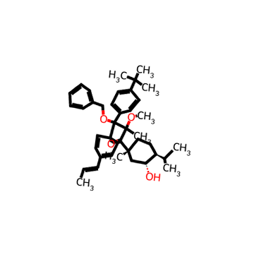 CC=Cc1ccc(C(OCc2ccccc2)(c2ccc(C(C)(C)C)cc2)C(C)(OC)C(=O)[C@]2(C)CC[C@@H](C(C)C)[C@H](O)C2)cc1